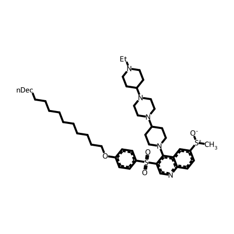 CCCCCCCCCCCCCCCCCCCCOc1ccc(S(=O)(=O)c2cnc3ccc([S+](C)[O-])cc3c2N2CCC(N3CCN(C4CCN(CC)CC4)CC3)CC2)cc1